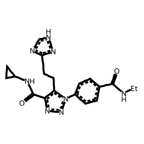 CCNC(=O)c1ccc(-n2nnc(C(=O)NC3CC3)c2CCc2nc[nH]n2)cc1